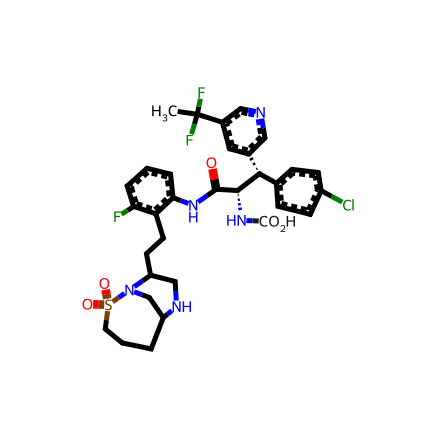 CC(F)(F)c1cncc([C@H](c2ccc(Cl)cc2)[C@H](NC(=O)O)C(=O)Nc2cccc(F)c2CCC2CNC3CCCS(=O)(=O)N2C3)c1